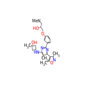 CNCC(O)COc1cccc(-c2nc(N[C@H]3C[C@@](C)(O)C3)c(C)c(-c3c(C)noc3C)n2)c1